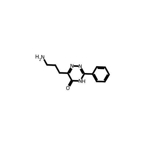 NCCCc1nnc(-c2ccccc2)[nH]c1=O